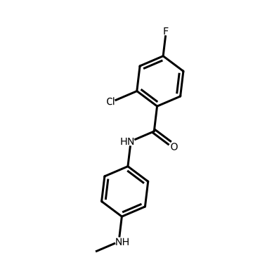 CNc1ccc(NC(=O)c2ccc(F)cc2Cl)cc1